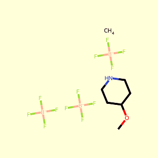 C.COC1CCNCC1.F[B-](F)(F)F.F[B-](F)(F)F.F[B-](F)(F)F